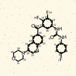 O=C(Nc1ccc(F)cc1)Nc1cc(F)c(F)c(C(=O)c2ccc3ncc(N4CCOCC4)cc3c2)c1